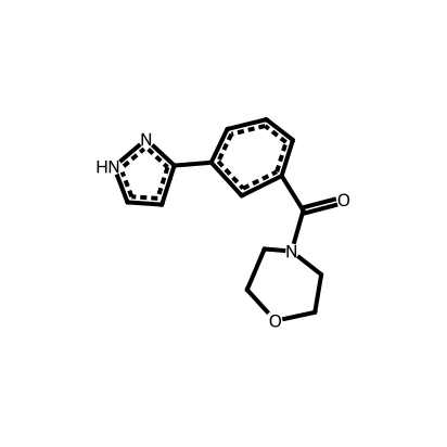 O=C(c1cccc(-c2cc[nH]n2)c1)N1CCOCC1